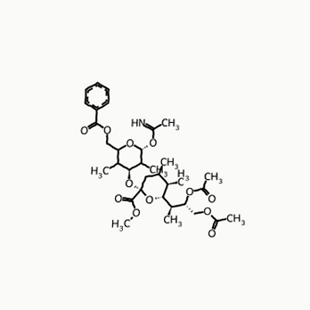 COC(=O)[C@@]1(O[C@H]2C(C)C(COC(=O)c3ccccc3)O[C@H](OC(C)=N)C2C)CC(C)[C@@H](C)[C@H]([C@H](C)[C@@H](COC(C)=O)OC(C)=O)O1